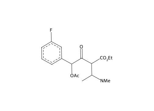 CCOC(=O)C(C(=O)C(OC(C)=O)c1cccc(F)c1)C(C)NC